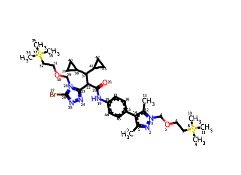 Cc1nn(COCCS(C)(C)C)c(C)c1-c1ccc(NC(=O)C(c2nnc(Br)n2COCCS(C)(C)C)C(C2CC2)C2CC2)cc1